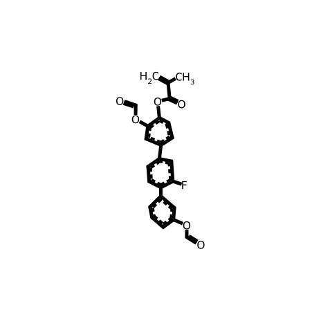 C=C(C)C(=O)Oc1ccc(-c2ccc(-c3cccc(OC=O)c3)c(F)c2)cc1OC=O